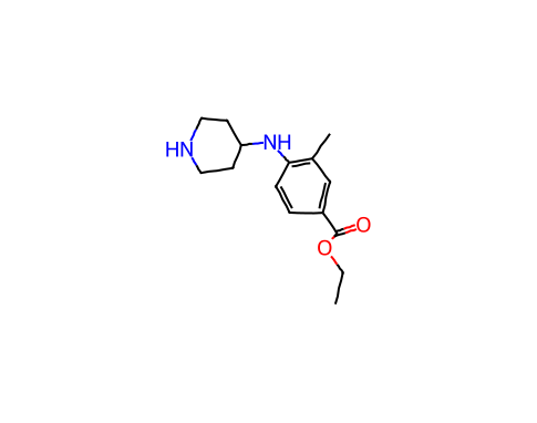 CCOC(=O)c1ccc(NC2CCNCC2)c(C)c1